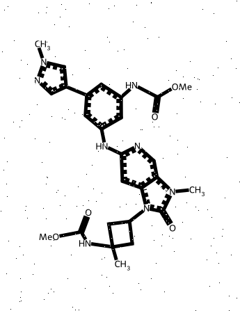 COC(=O)Nc1cc(Nc2cc3c(cn2)n(C)c(=O)n3C2CC(C)(NC(=O)OC)C2)cc(-c2cnn(C)c2)c1